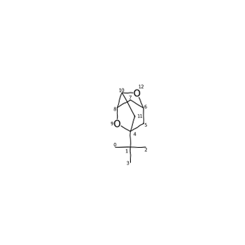 CC(C)(C)C12CC3CC(O1)C(C2)O3